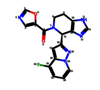 O=C(c1cnco1)N1CCc2[nH]cnc2[C@H]1c1cc2c(F)cccn2n1